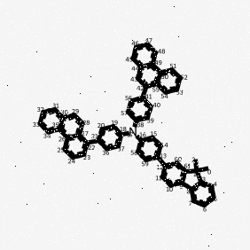 CC1(C)c2ccccc2-c2ccc(-c3ccc(N(c4ccc(-c5cccc6c5ccc5ccccc56)cc4)c4ccc(-c5cc6ccccc6c6ccccc56)cc4)cc3)cc21